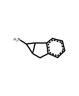 NC1C2Cc3ccccc3C12